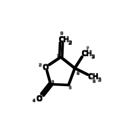 C=C1OC(=O)CC1(C)C